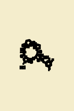 C[C@H]1C[C@H]2C(=O)O[C@@H](C)[C@H](NC(=O)[C@@H](N)Cc3cc(F)cc(F)c3)C(=O)N3CCC[C@H]3C(=O)N3CCCC[C@H]3C(=O)N[C@@H](C)C(=O)N2C1.Cl